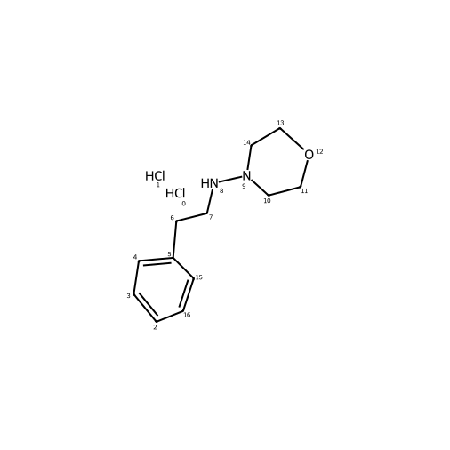 Cl.Cl.c1ccc(CCNN2CCOCC2)cc1